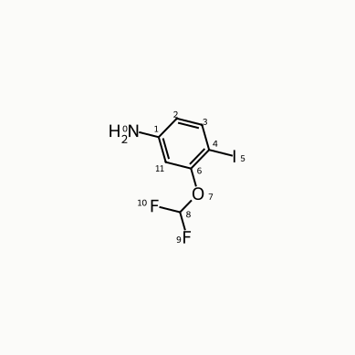 Nc1ccc(I)c(OC(F)F)c1